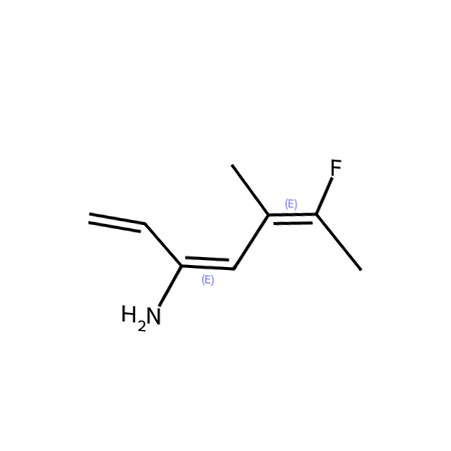 C=C/C(N)=C\C(C)=C(/C)F